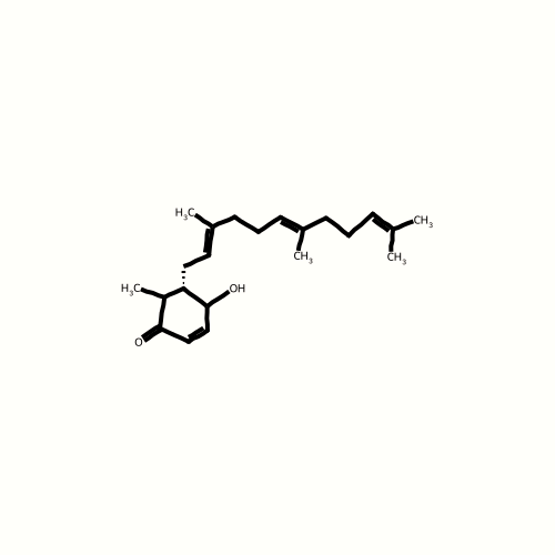 CC(C)=CCC/C(C)=C/CC/C(C)=C/C[C@@H]1C(O)C=CC(=O)C1C